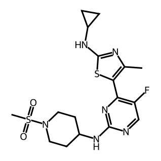 Cc1nc(NC2CC2)sc1-c1nc(NC2CCN(S(C)(=O)=O)CC2)ncc1F